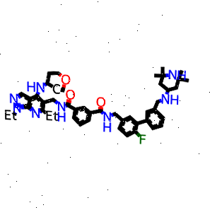 CCc1nc2c(cnn2CC)c(NC2CCOCC2)c1CNC(=O)c1cccc(C(=O)NCc2ccc(F)c(-c3cccc(CNC4CC(C)(C)NC(C)(C)C4)c3)c2)c1